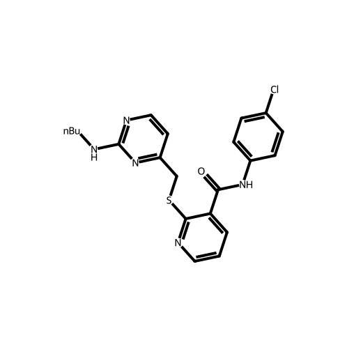 CCCCNc1nccc(CSc2ncccc2C(=O)Nc2ccc(Cl)cc2)n1